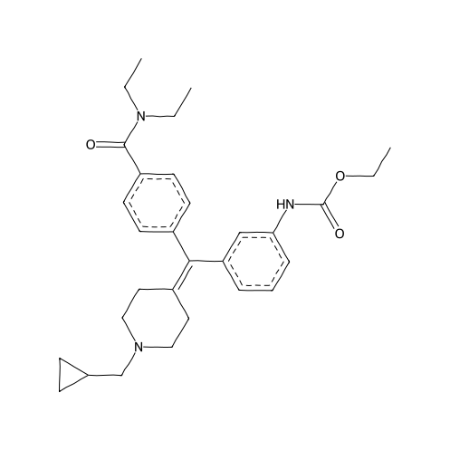 CCOC(=O)Nc1cccc(C(=C2CCN(CC3CC3)CC2)c2ccc(C(=O)N(CC)CC)cc2)c1